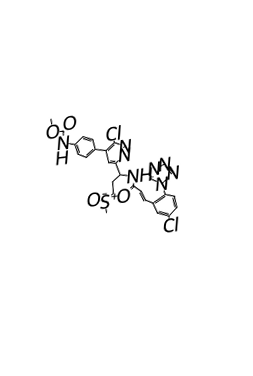 COC(=O)Nc1ccc(-c2cc(C(CC[S+](C)[O-])NC(=O)/C=C/c3cc(Cl)ccc3-n3cnnn3)nnc2Cl)cc1